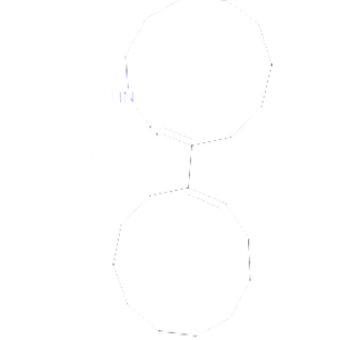 C1=C(C2=NNCCCCCCCC2)CCCCCCCCC1.Cl